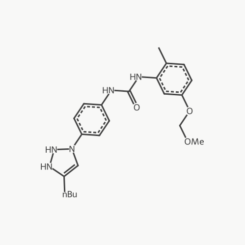 CCCCC1=CN(c2ccc(NC(=O)Nc3cc(OCOC)ccc3C)cc2)NN1